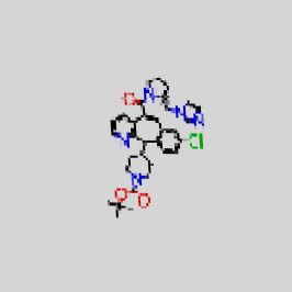 CC(C)(C)OC(=O)N1CCC(C2c3ccc(Cl)cc3C=C(C(=O)N3CCC[C@H]3Cn3ccnc3)c3cccnc32)CC1